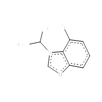 CC(C(=O)O)n1cnc2cccc([N+](=O)[O-])c21